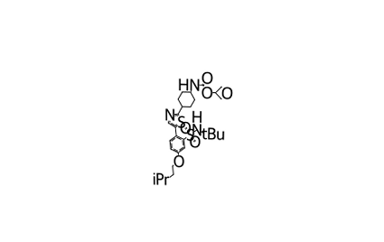 CC(C)CCOc1ccc(-c2cnc(C3CCC(NC(=O)OC4COC4)CC3)s2)c(S(=O)(=O)NC(C)(C)C)c1